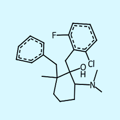 CN(C)C1CCCC(C)(Cc2ccccc2)C1(O)Cc1c(F)cccc1Cl